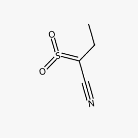 CCC(C#N)=S(=O)=O